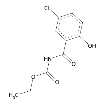 CCOC(=O)NC(=O)c1cc(Cl)ccc1O